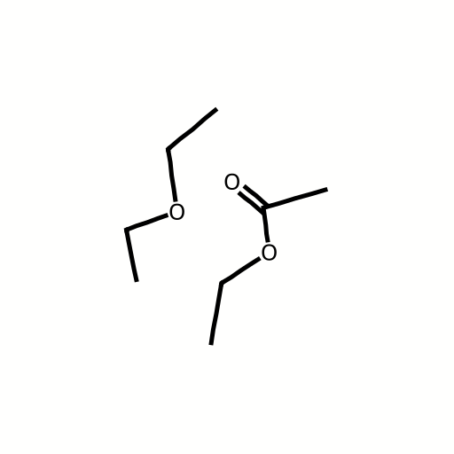 CCOC(C)=O.CCOCC